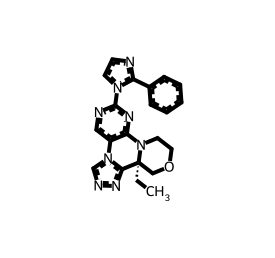 CC[C@@]12COCCN1c1nc(-n3ccnc3-c3ccccc3)ncc1-n1cnnc12